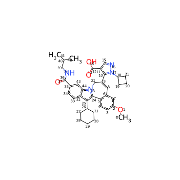 COc1ccc2c(c1)C=C(c1c(C(=O)O)cnn1C1CCC1)Cn1c-2c(C2CCCCC2)c2ccc(C(=O)NCC(C)C)cc21